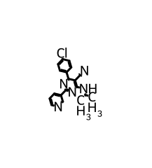 CC(C)Nc1nc(-c2cccnc2)nc(-c2ccc(Cl)cc2)c1C#N